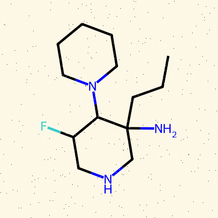 CCCC1(N)CNCC(F)C1N1CCCCC1